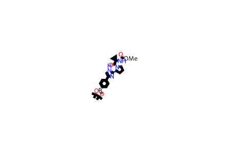 COC(=O)NC1(C(=O)N2CCC[C@H]2c2nc(-c3ccc(B4OC(C)(C)C(C)(C)O4)cc3)c[nH]2)CC1